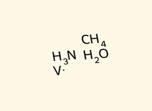 C.N.O.[V]